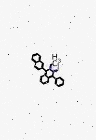 C/C=c1/c(-c2ccc3ccccc3c2)c2ccccc2c(-c2ccccc2)/c1=C/I